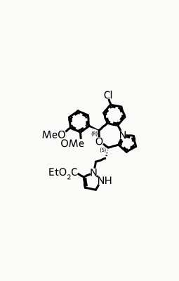 CCOC(=O)C1=CCNN1CC[C@@H]1O[C@@H](c2cccc(OC)c2OC)c2cc(Cl)ccc2-n2cccc21